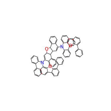 C1=CC2c3cccc(N(C4=CC5C(OC6C=C(N(c7ccccc7-c7ccccc7)c7cccc8c7oc7c(-c9ccccc9)cccc78)c7ccccc7C65)c5ccccc54)c4ccccc4-c4ccccc4)c3OC2C(c2ccccc2)=C1